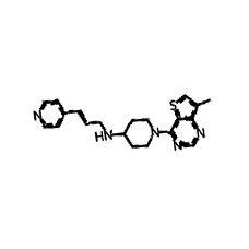 Cc1csc2c(N3CCC(NC/C=C/c4ccncc4)CC3)ncnc12